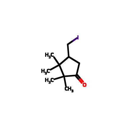 CC1(C)C(=O)CC(CI)C1(C)C